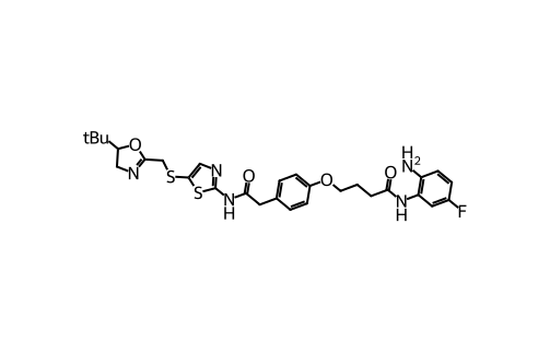 CC(C)(C)C1CN=C(CSc2cnc(NC(=O)Cc3ccc(OCCCC(=O)Nc4cc(F)ccc4N)cc3)s2)O1